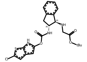 CC(C)(C)OC(=O)CN[C@@H]1c2ccccc2C[C@H]1NC(=O)Oc1cc2cc(Cl)sc2[nH]1